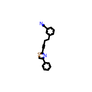 N#Cc1cccc(CCC#Cc2nc(-c3ccccc3)cs2)c1